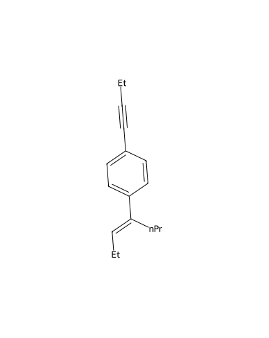 CCC#Cc1ccc(/C(=C/CC)CCC)cc1